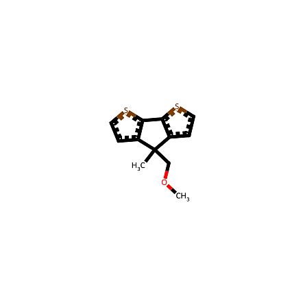 COCC1(C)c2ccsc2-c2sccc21